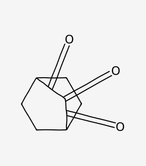 O=C1C(=O)C2CCC(CC2)C1=O